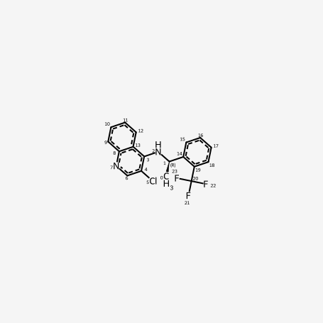 C[C@@H](Nc1c(Cl)cnc2ccccc12)c1ccccc1C(F)(F)F